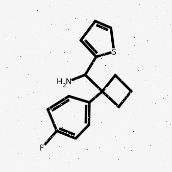 NC(c1cccs1)C1(c2ccc(F)cc2)CCC1